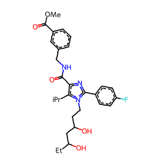 [CH2]CC(O)CC(O)CCn1c(-c2ccc(F)cc2)nc(C(=O)NCc2cccc(C(=O)OC)c2)c1C(C)C